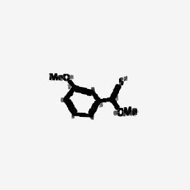 COC(=S)c1cccc(OC)c1